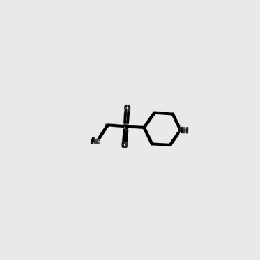 CC(=O)[CH]S(=O)(=O)C1CCNCC1